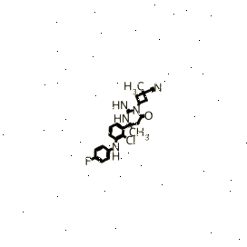 CC1(C#N)CC(N2C(=N)N[C@](C)(c3cccc(Nc4ccc(F)cc4)c3Cl)CC2=O)C1